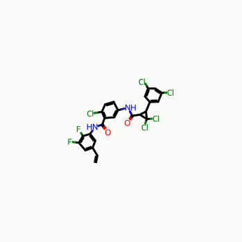 C=Cc1cc(F)c(F)c(NC(=O)c2cc(NC(=O)C3C(c4cc(Cl)cc(Cl)c4)C3(Cl)Cl)ccc2Cl)c1